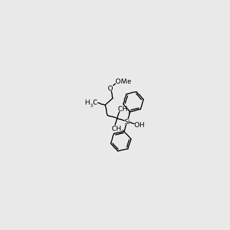 COOCC(C)CC(C)(C)[Si](O)(c1ccccc1)c1ccccc1